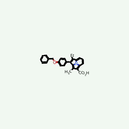 CCc1c(-c2ccc(OCc3ccccc3)cc2)c2c(C)c(C(=O)O)c3cccc1n32